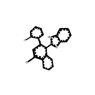 Clc1ccccc1-c1cc(Cl)c2ccccc2c1-c1nc2ccccc2[nH]1